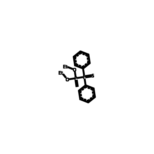 C=P(OCC)(OCC)P(=S)(c1ccccc1)c1ccccc1